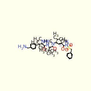 CN[C@H](C(=O)N[C@H](C(=O)N(C)[C@H](/C=C(\C)C(=O)NS(=O)(=O)Cc1ccccc1)C(C)C)C(C)(C)C)C(C)(C)c1ccc(CN)cc1